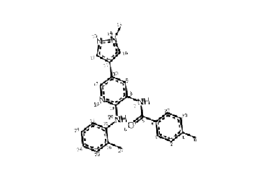 Cc1ccc(C(=O)Nc2cc(-c3cnn(C)c3)cnc2Nc2ccccc2C)cc1